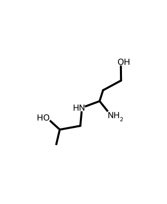 CC(O)CNC(N)CCO